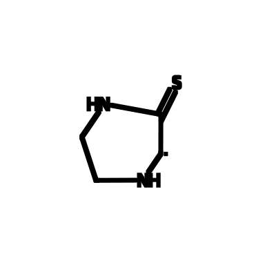 S=C1[CH]NCCN1